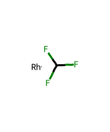 FC(F)F.[Rh]